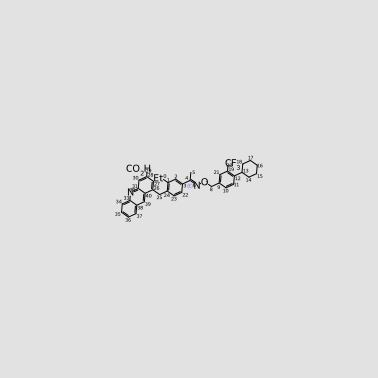 CCc1cc(/C(C)=N/OCc2ccc(C3CCCCC3)c(C(F)(F)F)c2)ccc1Cc1cc(C(=O)O)cc2nc3ccccc3cc12